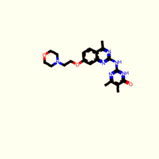 Cc1nc(Nc2nc(C)c3ccc(OCCN4CCOCC4)cc3n2)[nH]c(=O)c1C